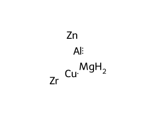 [Al].[Cu].[MgH2].[Zn].[Zr]